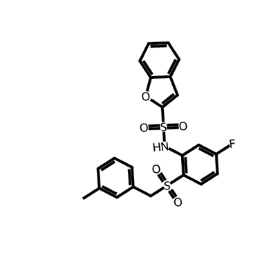 Cc1cccc(CS(=O)(=O)c2ccc(F)cc2NS(=O)(=O)c2cc3ccccc3o2)c1